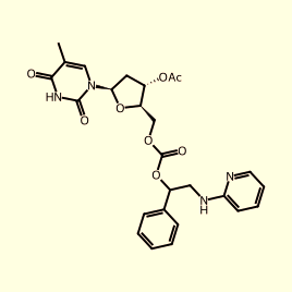 CC(=O)O[C@H]1C[C@H](n2cc(C)c(=O)[nH]c2=O)O[C@@H]1COC(=O)OC(CNc1ccccn1)c1ccccc1